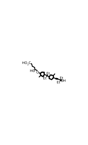 CCC(O)(C#Cc1ccc(C(CC)(CC)c2ccc(OC[C@H](O)CCCC(=O)O)c(C)c2)cc1C)CC